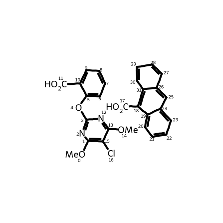 COc1nc(Oc2ccccc2C(=O)O)nc(OC)c1Cl.O=C(O)c1c2ccccc2cc2ccccc12